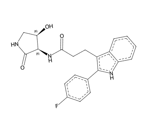 O=C(CCc1c(-c2ccc(F)cc2)[nH]c2ccccc12)N[C@H]1C(=O)NC[C@H]1O